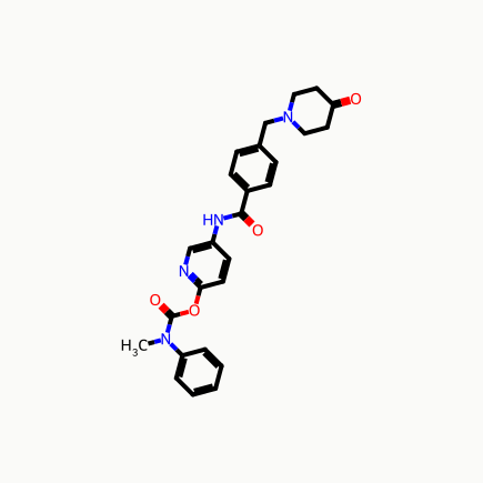 CN(C(=O)Oc1ccc(NC(=O)c2ccc(CN3CCC(=O)CC3)cc2)cn1)c1ccccc1